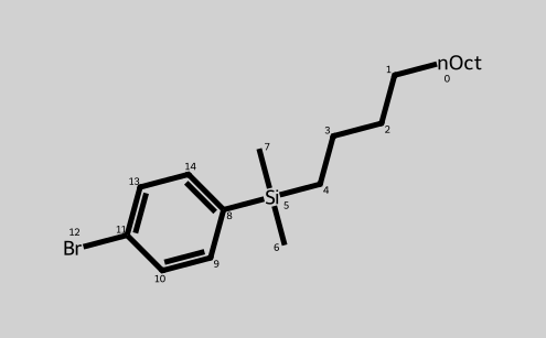 CCCCCCCCCCCC[Si](C)(C)c1ccc(Br)cc1